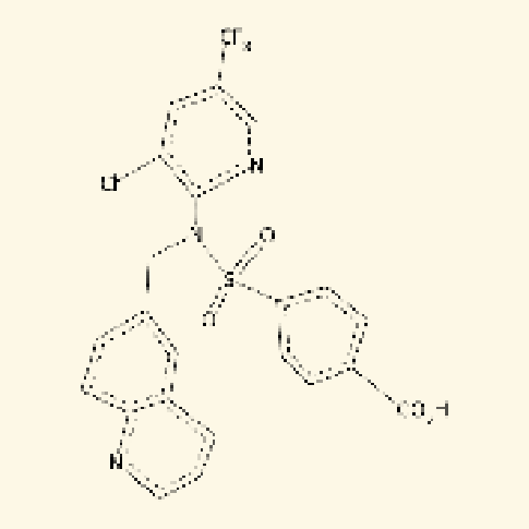 O=C(O)c1ccc(S(=O)(=O)N(Cc2ccc3ncccc3c2)c2ncc(C(F)(F)F)cc2Cl)cc1